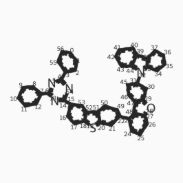 c1ccc(-c2nc(-c3ccccc3)nc(-c3ccc4sc5cc(-c6cccc7oc8cc(-n9c%10ccccc%10c%10ccccc%109)ccc8c67)ccc5c4c3)n2)cc1